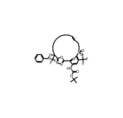 CC(C)(C)OC(=O)Nc1cc(C(F)(F)F)c2nc1-c1nnc(o1)C(OCc1ccccc1)(C(F)(F)F)CCCCCCC/C=C/CCS2(=O)=O